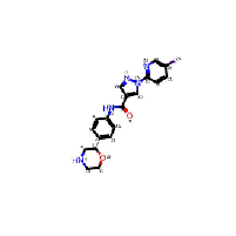 O=C(Nc1ccc([C@H]2CNCCO2)cc1)c1cnn(-c2ccc(I)cn2)c1